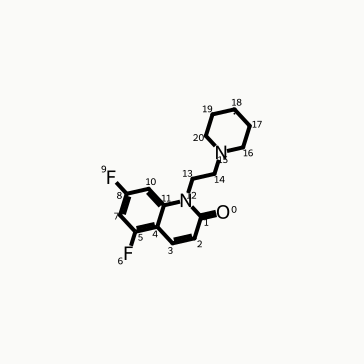 O=c1ccc2c(F)cc(F)cc2n1CCN1CC[CH]CC1